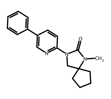 CN1C(=O)N(c2ccc(-c3ccccc3)cn2)CC12CCCC2